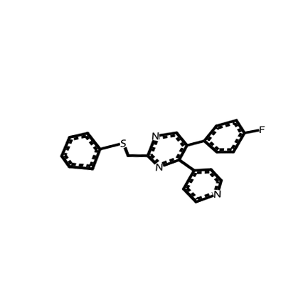 Fc1ccc(-c2cnc(CSc3ccccc3)nc2-c2ccncc2)cc1